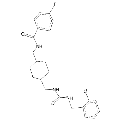 O=C(NCc1ccccc1Cl)NCC1CCC(CNC(=O)c2ccc(F)cc2)CC1